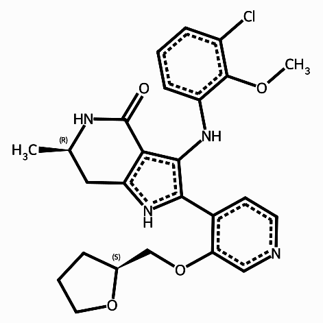 COc1c(Cl)cccc1Nc1c(-c2ccncc2OC[C@@H]2CCCO2)[nH]c2c1C(=O)N[C@H](C)C2